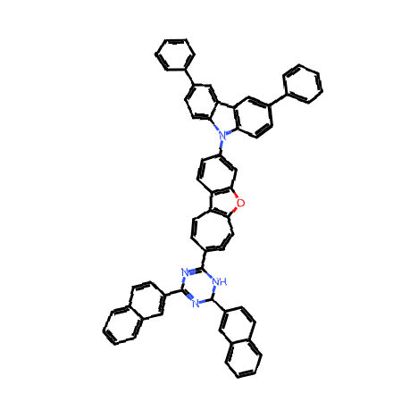 C1=Cc2oc3cc(-n4c5ccc(-c6ccccc6)cc5c5cc(-c6ccccc6)ccc54)ccc3c2C=CC=1C1=NC(c2ccc3ccccc3c2)=NC(c2ccc3ccccc3c2)N1